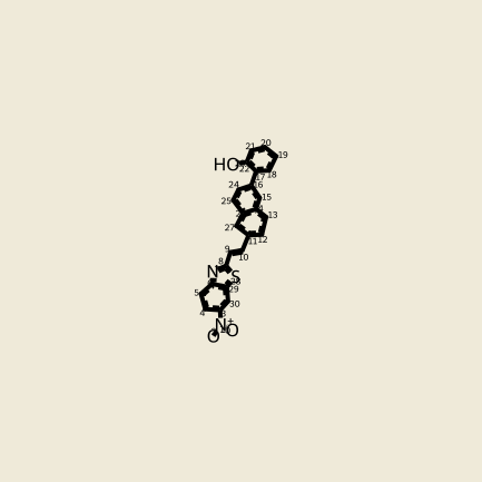 O=[N+]([O-])c1ccc2nc(C=Cc3ccc4cc(-c5ccccc5O)ccc4c3)sc2c1